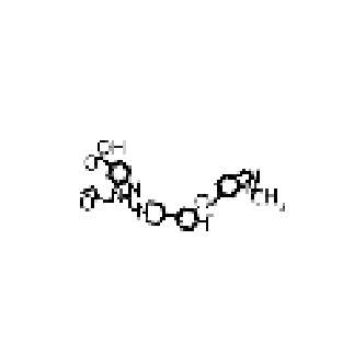 Cn1ncc2ccc(COc3cc(C4CCN(Cc5nc6ccc(C(=O)O)cc6n5C[C@@H]5CCO5)CC4)ccc3F)cc21